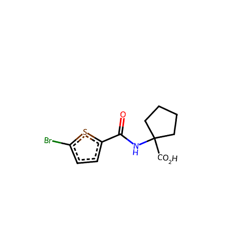 O=C(NC1(C(=O)O)CCCC1)c1ccc(Br)s1